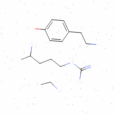 N=C(N)NCCCC(N)C(=O)O.NCC(=O)O.NCCc1ccc(O)cc1